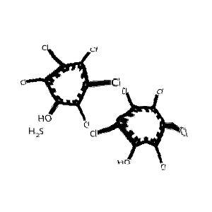 Oc1c(Cl)c(Cl)c(Cl)c(Cl)c1Cl.Oc1c(Cl)c(Cl)c(Cl)c(Cl)c1Cl.S